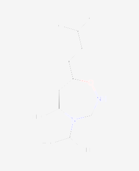 CC(C)CCC1CC(C)N(C(C)C)CNO1